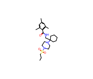 CCCS(=O)(=O)N1CCN(C2(CNC(=O)c3c(C)cc(C)cc3C)CCCCC2)CC1